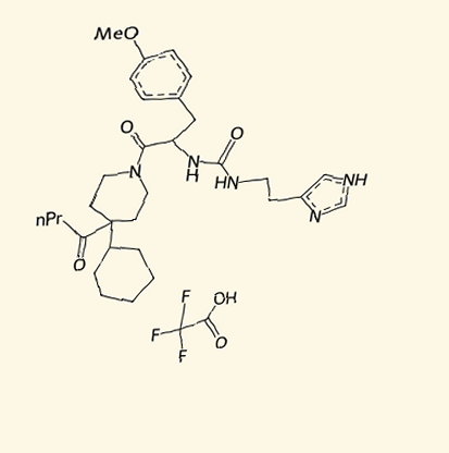 CCCC(=O)C1(C2CCCCC2)CCN(C(=O)C(Cc2ccc(OC)cc2)NC(=O)NCCc2c[nH]cn2)CC1.O=C(O)C(F)(F)F